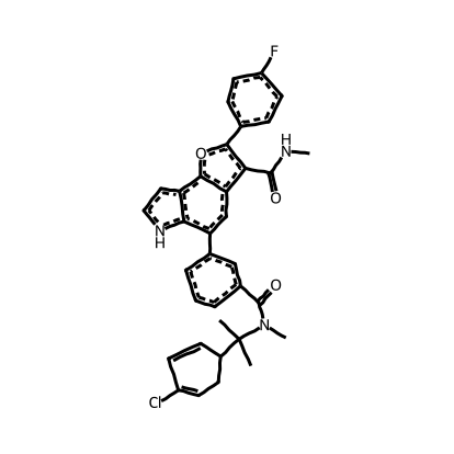 CNC(=O)c1c(-c2ccc(F)cc2)oc2c1cc(-c1cccc(C(=O)N(C)C(C)(C)C3C=CC(Cl)=CC3)c1)c1[nH]ccc12